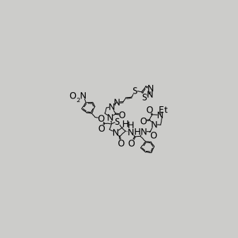 CCN1CCN(C(=O)NC(C(=O)N[C@@H]2C(=O)N3C[C@@](C(=O)OCc4ccc([N+](=O)[O-])cc4)(N4CCN(N=CC=CSc5cnns5)C4=O)S[C@H]23)c2ccccc2)C(=O)C1=O